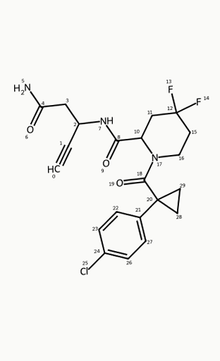 C#CC(CC(N)=O)NC(=O)C1CC(F)(F)CCN1C(=O)C1(c2ccc(Cl)cc2)CC1